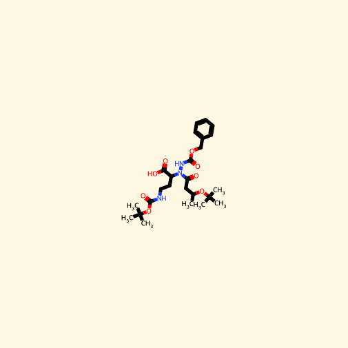 CC(CC(=O)N(NC(=O)OCc1ccccc1)C(CCNC(=O)OC(C)(C)C)C(=O)O)OC(C)(C)C